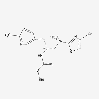 CC(C)(C)OC(=O)N[C@H](Cc1ccc(C(F)(F)F)nc1)CN(C(=O)O)c1nc(Br)cs1